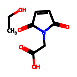 CCO.O=C(O)CN1C(=O)C=CC1=O